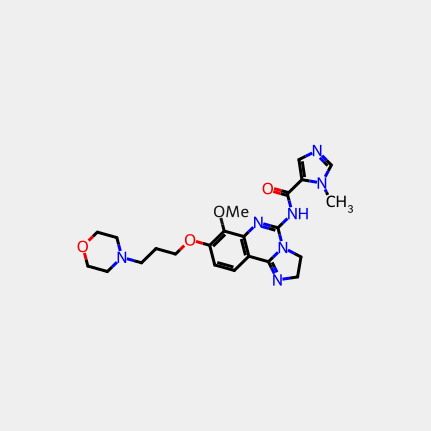 COc1c(OCCCN2CCOCC2)ccc2c1N=C(NC(=O)c1cncn1C)N1CCN=C21